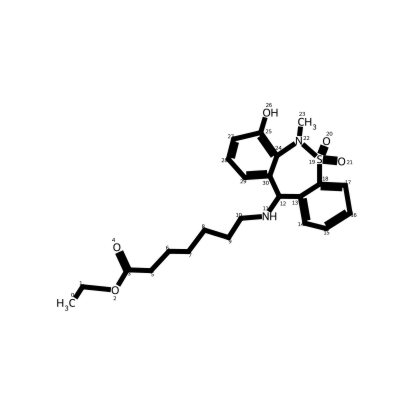 CCOC(=O)CCCCCCNC1c2ccccc2S(=O)(=O)N(C)c2c(O)cccc21